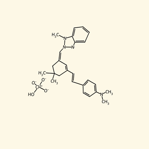 CN(C)c1ccc(C=CC2=CC(=CN3[N]c4ccccc4N3C)CC(C)(C)C2)cc1.[O-][Cl+3]([O-])([O-])O